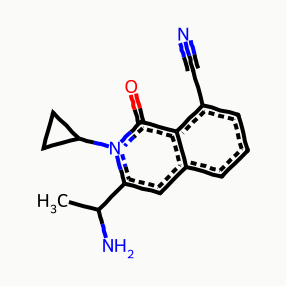 CC(N)c1cc2cccc(C#N)c2c(=O)n1C1CC1